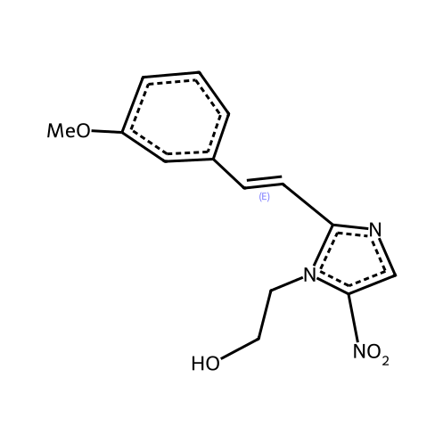 COc1cccc(/C=C/c2ncc([N+](=O)[O-])n2CCO)c1